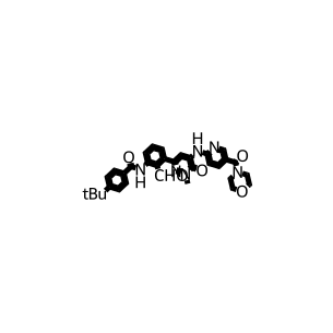 Cn1nc(-c2cccc(NC(=O)c3ccc(C(C)(C)C)cc3)c2C=O)cc(Nc2ccc(C(=O)N3CCOCC3)cn2)c1=O